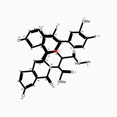 COC(=O)C(C(C(=O)NC(C)C)n1c(-c2ccc(F)c(OC)c2)cc2ccc(Cl)cc2c1=O)n1c(-c2ccc(F)c(OC)c2)cc2ccc(Cl)cc2c1=O